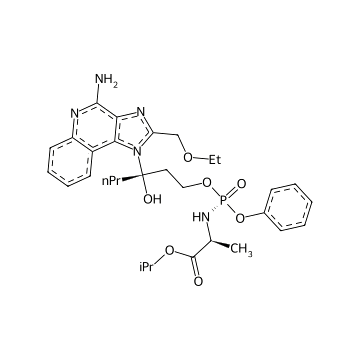 CCC[C@](O)(CCO[P@](=O)(N[C@@H](C)C(=O)OC(C)C)Oc1ccccc1)n1c(COCC)nc2c(N)nc3ccccc3c21